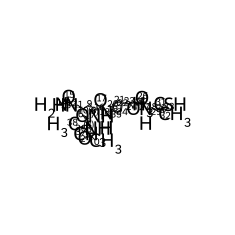 CC(=O)N[C@H](C(=O)N[C@@H](CCCNC(N)=O)C(=O)Nc1ccc(COC(=O)NCCC(C)(C)S)cc1)C(C)C